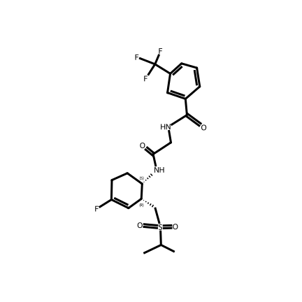 CC(C)S(=O)(=O)C[C@@H]1C=C(F)CC[C@@H]1NC(=O)CNC(=O)c1cccc(C(F)(F)F)c1